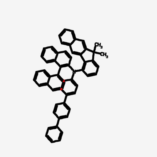 CC1(C)c2cc3ccccc3cc2-c2c(N(c3ccc(-c4ccc(-c5ccccc5)cc4)cc3)c3ccc4ccccc4c3-c3cccc4ccccc34)cccc21